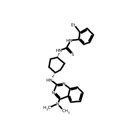 CCc1ccccc1NC(=S)N[C@H]1CC[C@@H](Nc2nc(N(C)C)c3ccccc3n2)CC1